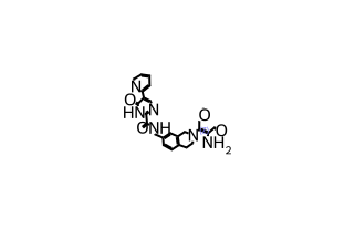 COC/C(=C(/N)C=O)N1CCc2ccc(CNC(=O)c3ncc(-c4ccccn4)c(=O)[nH]3)cc2C1